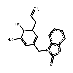 C=CCC1C=C(Cn2c(=S)sc3ccccc32)C=C(C)C1O